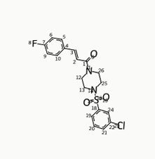 O=C(/C=C/c1ccc(F)cc1)N1CCN(S(=O)(=O)c2cccc(Cl)c2)CC1